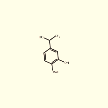 COc1ccc(C(O)C(F)(F)F)cc1O